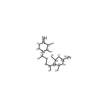 CC1C(C)N(C(C)CCC(C)N2C(C)CN(C(C)C)CC2C)CCN1S